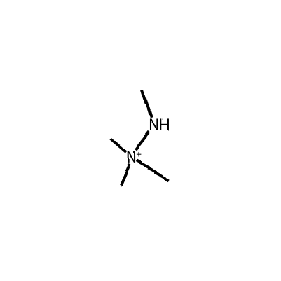 CN[N+](C)(C)C